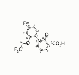 O=C(O)c1cccn(-c2ccc(F)cc2OCC(F)(F)F)c1=O